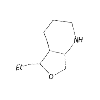 CCC1OCC2NCCCC21